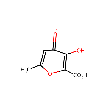 Cc1cc(=O)c(O)c(C(=O)O)o1